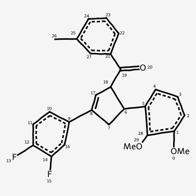 COc1cccc(C2CC(c3ccc(F)c(F)c3)=CC2C(=O)c2cccc(C)c2)c1OC